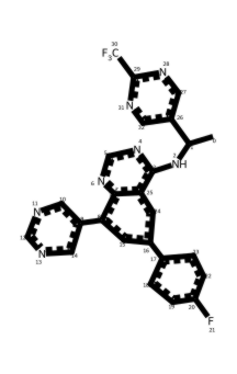 CC(Nc1ncnc2c(-c3cncnc3)cc(-c3ccc(F)cc3)cc12)c1cnc(C(F)(F)F)nc1